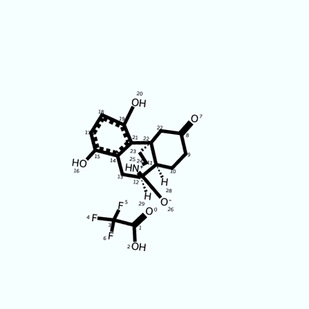 O=C(O)C(F)(F)F.O=C1CC[C@H]2[C@H]3Cc4c(O)ccc(O)c4[C@@]2(CC[NH+]3[O-])C1